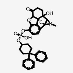 CN1C2C13CC14c5c3ccc(OP(=O)(O)OC3CCC(c6ccccc6)(c6ccccc6)CC3)c5OC1C(=O)CCC24O